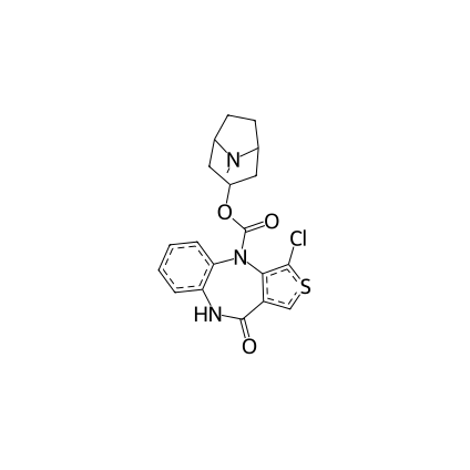 CN1C2CCC1CC(OC(=O)N1c3ccccc3NC(=O)c3csc(Cl)c31)C2